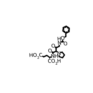 O=C(O)CC[C@H](NC(=O)C(C(=O)CNC(=O)OCc1ccccc1)N1CCCC1)C(=O)O